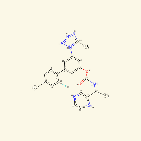 Cc1ccc(-c2cc(OC(=O)NC(C)c3cnccn3)cc(-n3nnnc3C)c2)c(F)c1